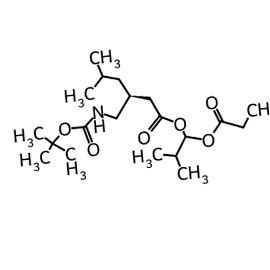 CCC(=O)OC(OC(=O)C[C@@H](CNC(=O)OC(C)(C)C)CC(C)C)C(C)C